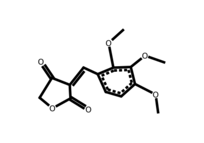 COc1ccc(C=C2C(=O)COC2=O)c(OC)c1OC